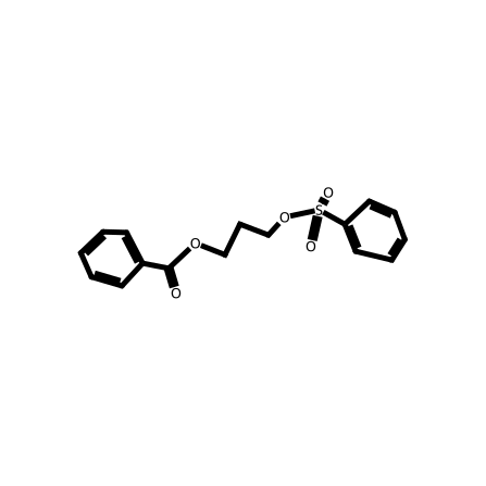 O=C(OCCCOS(=O)(=O)c1ccccc1)c1ccccc1